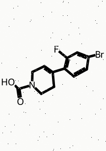 O=C(O)N1CC=C(c2ccc(Br)cc2F)CC1